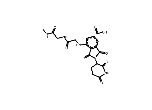 CNC(=O)CNC(=O)CNc1cccc2c1C(=O)N(C1CCC(=O)NC1=O)C2=O.O=CO